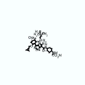 COc1ccc(OCC2CC2)c(-c2ncnc3c(C(=O)N[C@H]4CC[C@@H](NC(=O)O)CC4)c(C)n(COCC[Si](C)(C)C)c23)c1